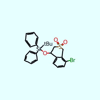 CC(C)(C)[Si](OC1CS(=O)(=O)Cc2c(Br)cccc21)(c1ccccc1)c1ccccc1